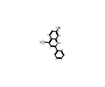 Nc1cc(-c2ccccc2)nc2cc(Br)ccc12